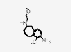 COCCNC1CCCc2c(ccc(N)c2OC)C1